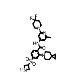 Cc1cc(NC(=O)c2ccc(S(=O)(=O)C3CNC3)cc2N2CCC3(CC2)CC3)cc(N2CCC(F)(F)CC2)n1